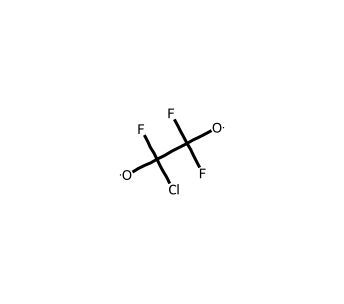 [O]C(F)(F)C([O])(F)Cl